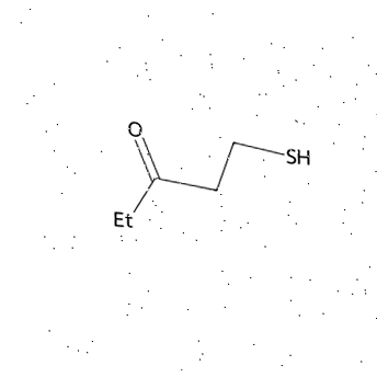 [CH2]CC(=O)CCS